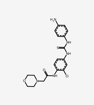 Nc1ccc(NC(=S)Nc2ccc(NC(=O)CN3CCOCC3)c(Cl)c2)cc1